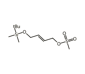 CC(C)(C)[Si](C)(C)OCC=CCOS(C)(=O)=O